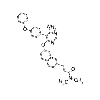 CN(C)C(=O)C=Cc1ccc2ccc(Oc3ncnc(N)c3-c3ccc(Oc4ccccc4)cc3)cc2c1